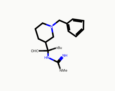 CCCCC(C=O)(NC(=N)NC)C1CCCN(Cc2ccccc2)C1